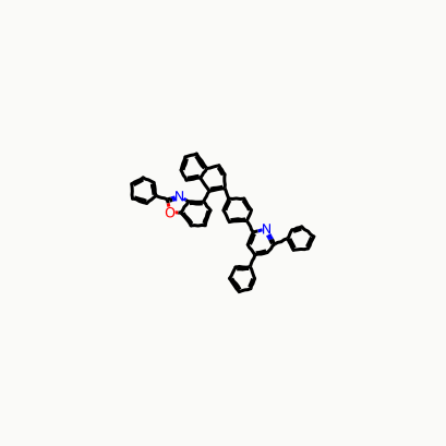 c1ccc(-c2cc(-c3ccccc3)nc(-c3ccc(-c4ccc5ccccc5c4-c4cccc5oc(-c6ccccc6)nc45)cc3)c2)cc1